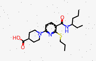 CCCSc1nc(N2CCC(C(=O)O)CC2)ccc1C(=O)NC(CC)CCC